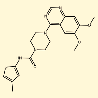 COc1cc2ncnc(N3CCN(C(=O)Nc4cc(C)cs4)CC3)c2cc1OC